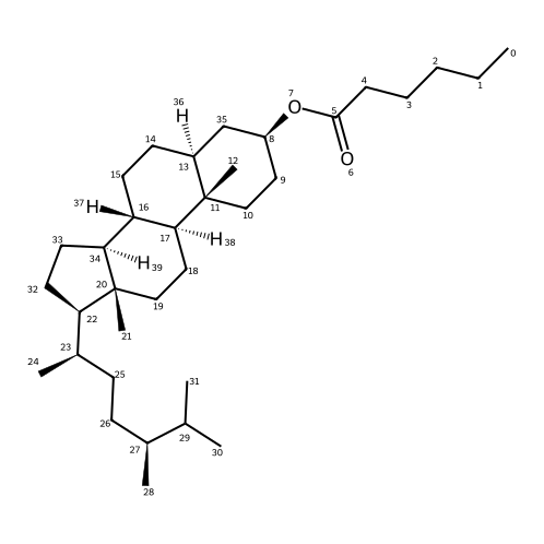 CCCCCC(=O)O[C@H]1CC[C@@]2(C)[C@@H](CC[C@@H]3[C@@H]2CC[C@]2(C)[C@@H]([C@H](C)CC[C@H](C)C(C)C)CC[C@@H]32)C1